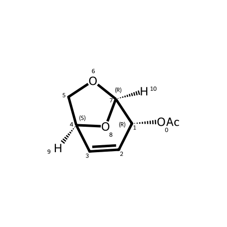 CC(=O)O[C@@H]1C=C[C@H]2CO[C@@H]1O2